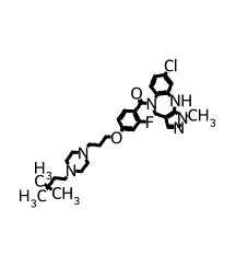 Cn1ncc2c1Nc1cc(Cl)ccc1N(C(=O)c1ccc(OCCCN3CCN(CCC(C)(C)C)CC3)cc1F)C2